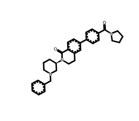 O=C(c1ccc(-c2ccc3c(c2)CCN([C@@H]2CCCN(Cc4ccccc4)C2)C3=O)cc1)N1CCCC1